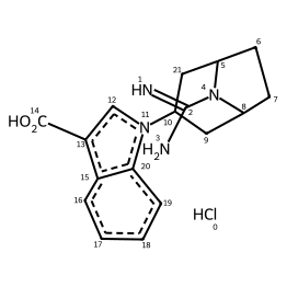 Cl.N=C(N)N1C2CCC1CC(n1cc(C(=O)O)c3ccccc31)C2